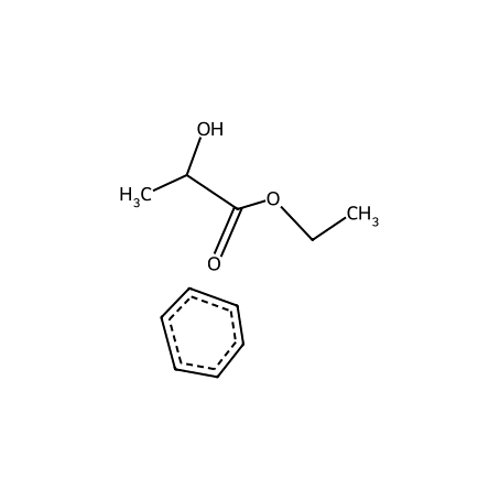 CCOC(=O)C(C)O.c1ccccc1